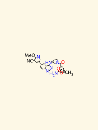 COc1ncc(-c2ccc3ncnc(N[C@H]4CCN(C(=O)[C@H](C[Se]C)OC(N)=O)C4)c3c2)cc1C#N